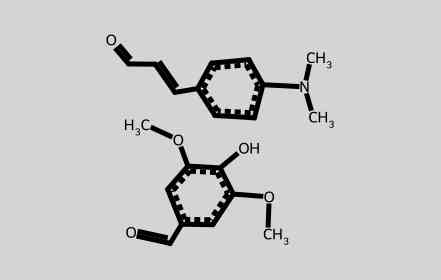 CN(C)c1ccc(C=CC=O)cc1.COc1cc(C=O)cc(OC)c1O